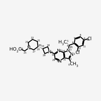 Cc1nn([C@H](C)c2ccc(Cl)cc2Cl)c2nc(N3CC([C@H]4CCCN(CC(=O)O)C4)C3)cnc12